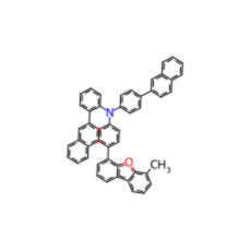 Cc1cccc2c1oc1c(-c3ccc(N(c4ccc(-c5ccc6ccccc6c5)cc4)c4ccccc4-c4ccc5ccccc5c4)cc3)cccc12